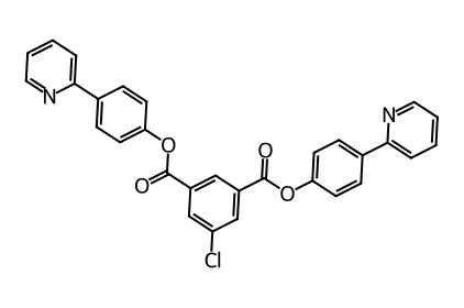 O=C(Oc1ccc(-c2ccccn2)cc1)c1cc(Cl)cc(C(=O)Oc2ccc(-c3ccccn3)cc2)c1